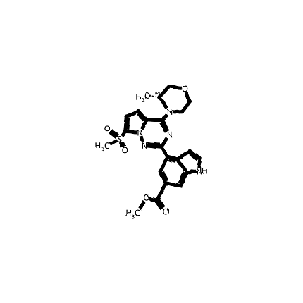 COC(=O)c1cc(-c2nc(N3CCOC[C@H]3C)c3ccc(S(C)(=O)=O)n3n2)c2cc[nH]c2c1